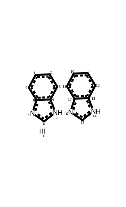 I.c1ccc2[nH]cnc2c1.c1ccc2[nH]cnc2c1